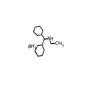 B.CCNC(C1CCCCC1)C1CCCCC1